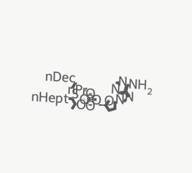 CCCCCCCCCCCCSC(CCCCCCC)C(C)OOP(=O)(OCCC)OC[C@@H]1CC[C@H](n2cnc3c(N)ncnc32)O1